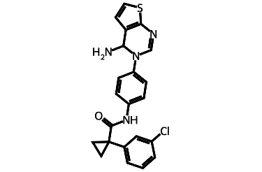 NC1c2ccsc2N=CN1c1ccc(NC(=O)C2(c3cccc(Cl)c3)CC2)cc1